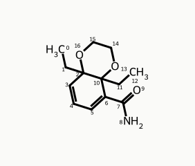 CCC12C=CC=C(C(N)=O)C1(CC)OCCO2